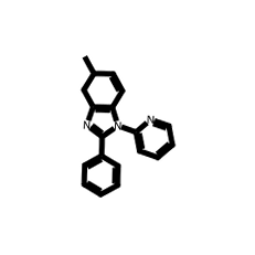 CC1C=Cc2c(nc(-c3ccccc3)n2-c2ccccn2)C1